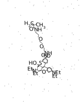 C=C(C)C(=O)NCCCOCCOCCNS(=O)(=O)c1ccc(C2=C3C=CC(N(CC)CC)C=C3Oc3cc(N(CC)CC)ccc32)c(S(=O)(=O)O)c1